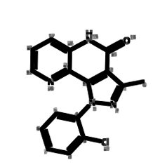 Cc1nn(-c2ccccc2Cl)c2c1c(=O)[nH]c1cccnc12